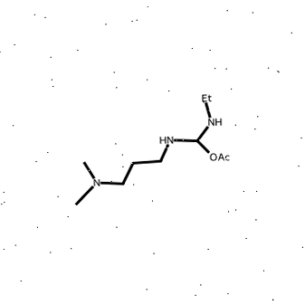 CCNC(NCCCN(C)C)OC(C)=O